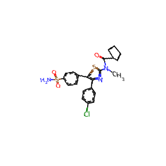 CN(C(=O)C1CCCC1)c1nc(-c2ccc(Cl)cc2)c(-c2ccc(S(N)(=O)=O)cc2)s1